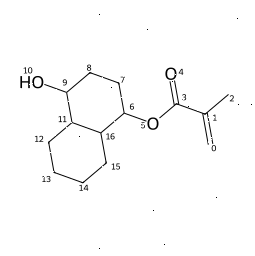 C=C(C)C(=O)OC1CCC(O)C2CCCCC12